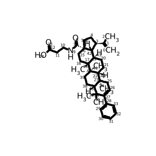 C=C(C)[C@@H]1CC[C@]2(C(=O)NCCC(=O)O)CC[C@]3(C)[C@H](CC[C@@H]4[C@@]5(C)CC=C(c6ccccc6)C(C)(C)[C@@H]5CC[C@]43C)[C@@H]12